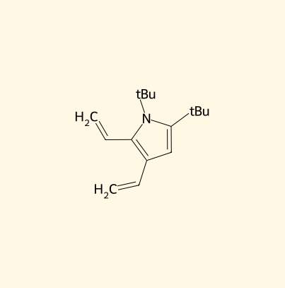 C=Cc1cc(C(C)(C)C)n(C(C)(C)C)c1C=C